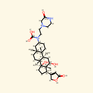 C[C@]12CC[C@H](N(CCN3CCNC(=O)C3)C(=O)O)C[C@H]1CC[C@@H]1[C@@H]2C[C@@H](O)[C@]2(C)[C@@H](C3=CC(=O)OC3)CC[C@]12O